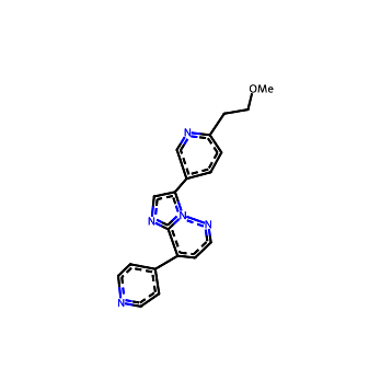 COCCc1ccc(-c2cnc3c(-c4ccncc4)ccnn23)cn1